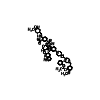 COc1ccc(CN2CCN(C3CC4(CCN(c5ccc(C(=O)NS(=O)(=O)c6ccc(NCC7CCC(C)(O)CC7)c([N+](=O)[O-])c6)c(N6c7cc8cc[nH]c8nc7O[C@H]7COCC[C@@H]76)c5)CC4)C3)[C@@H](c3ccccc3OC(C)C)C2)cc1